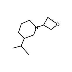 CC(C)C1CCCN(C2COC2)C1